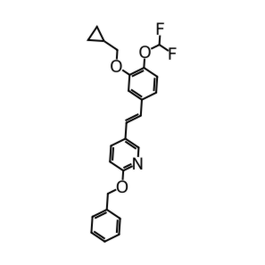 FC(F)Oc1ccc(C=Cc2ccc(OCc3ccccc3)nc2)cc1OCC1CC1